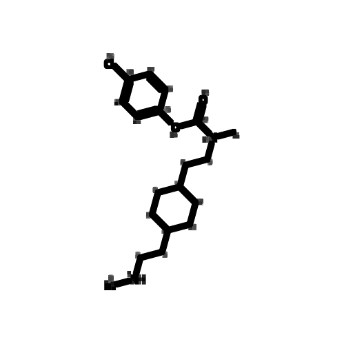 CCNCCC1CCC(CCN(C)C(=O)Oc2ccc(Cl)cc2)CC1